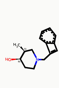 C[C@H]1CN(CC2=Cc3ccccc32)CC[C@H]1O